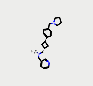 CN(Cc1cccnc1)C[C@H]1C[C@H](c2ccc(CN3CCCC3)cc2)C1